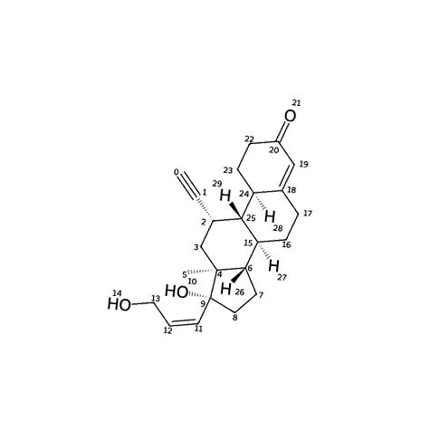 C#C[C@H]1C[C@@]2(C)[C@@H](CC[C@@]2(O)/C=C\CO)[C@@H]2CCC3=CC(=O)CC[C@@H]3[C@H]21